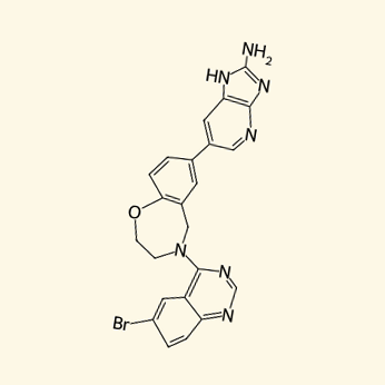 Nc1nc2ncc(-c3ccc4c(c3)CN(c3ncnc5ccc(Br)cc35)CCO4)cc2[nH]1